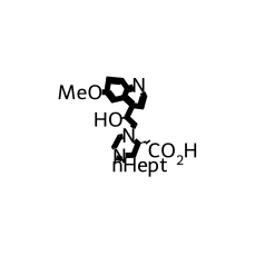 CCCCCCCN1CCN(C[C@H](O)c2ccnc3ccc(OC)cc23)[C@H](CC(=O)O)C1